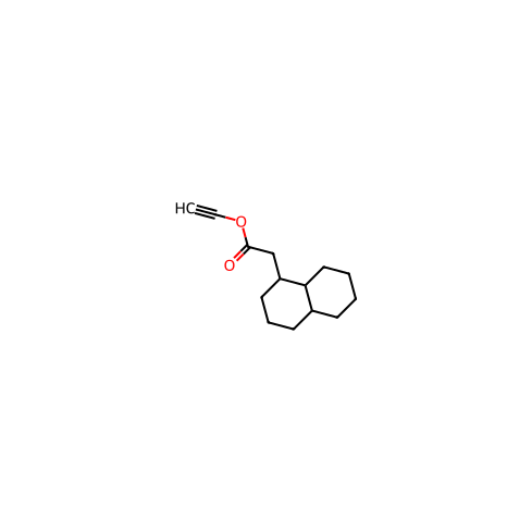 C#COC(=O)CC1CCCC2CCCCC21